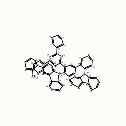 Cc1ccccc1-c1ccc2c(c1)c1ccccc1n2-c1ccc(-c2ccccc2-n2c3ccccc3c3ccccc32)cc1-c1nc(-c2ccccc2)nc(-c2ccccc2)n1